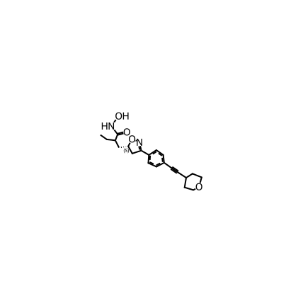 CCC(C[C@H]1CC(c2ccc(C#CC3CCOCC3)cc2)=NO1)C(=O)NO